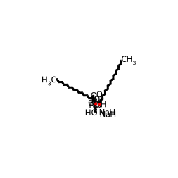 CCCCCCCCCCCCCCCC(=O)CC(CO)OP(=O)(C(=O)CCCCCCCCCCCCCCC)C(O)CCO.[NaH].[NaH]